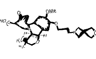 COc1cc2c(cc1OCCCN1CC3(COC3)C1)[C@H]1OCC(C)(C)[C@H]1n1cc(C(=O)O)c(=O)cc1-2